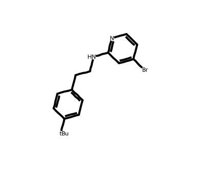 CC(C)(C)c1ccc(CCNc2cc(Br)ccn2)cc1